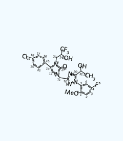 COc1ccc(F)cc1-n1nc(Cn2cc(-c3ccc(Cl)cc3)n(CC(O)C(F)(F)F)c2=O)nc1C(C)O